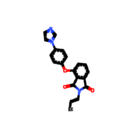 CCC=CN1C(=O)c2cccc(Oc3ccc(-n4ccnc4)cc3)c2C1=O